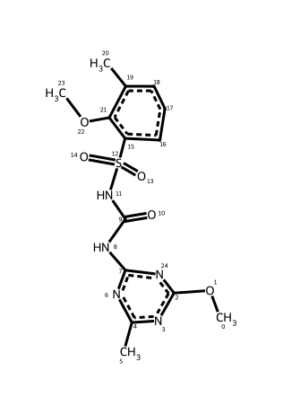 COc1nc(C)nc(NC(=O)NS(=O)(=O)c2cccc(C)c2OC)n1